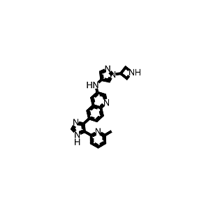 Cc1cccc(-c2[nH]cnc2-c2ccc3ncc(Nc4cnn(C5CNC5)c4)cc3c2)n1